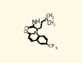 CN(C)CCC(C(N)=O)n1c(=O)ccc2cc(C(F)(F)F)ccc21